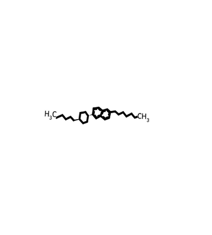 CCCCCCCc1ccc2cc([C@H]3CC[C@H](CCCCCC)CC3)ccc2c1